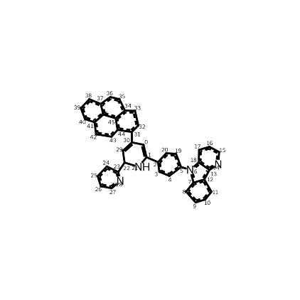 C1=C(c2ccc(-n3c4ccccc4c4ncccc43)cc2)NC(c2ccccn2)C=C1c1ccc2ccc3cccc4ccc1c2c34